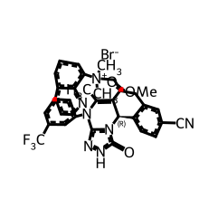 COC(=O)C1=C(C)N(c2cccc(C(F)(F)F)c2)c2n[nH]c(=O)n2[C@@H]1c1ccc(C#N)cc1CCC[N+](C)(C)c1cccc2cccnc12.[Br-]